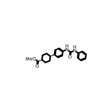 COC(=O)[C@H]1CC[C@@H](c2ccc(NC(=O)Nc3ccccc3)cc2)CC1